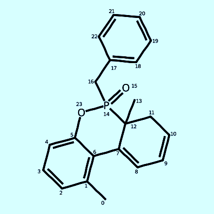 Cc1cccc2c1C1=CC=CCC1(C)P(=O)(Cc1ccccc1)O2